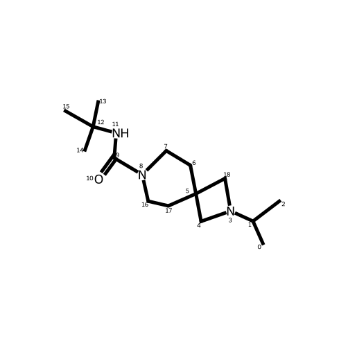 CC(C)N1CC2(CCN(C(=O)NC(C)(C)C)CC2)C1